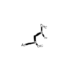 CC(=O)N(C=O)CN(C=O)C(C)=O